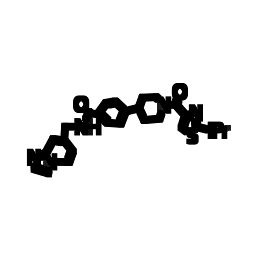 CC(C)c1nc(C(=O)N2CCC(c3ccc(C(=O)NCc4ccn5ccnc5c4)cc3)CC2)cs1